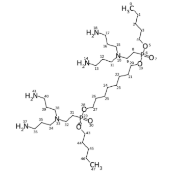 CCCCCOP(=O)(CCN(CCCN)CCCN)OCCCCCCCCOP(=O)(CCN(CCCN)CCCN)OCCCCC